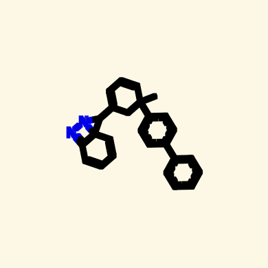 CC1(c2ccc(-c3ccccc3)cc2)C=CC=C(C2N3N=C4C=CC=CC423)C1